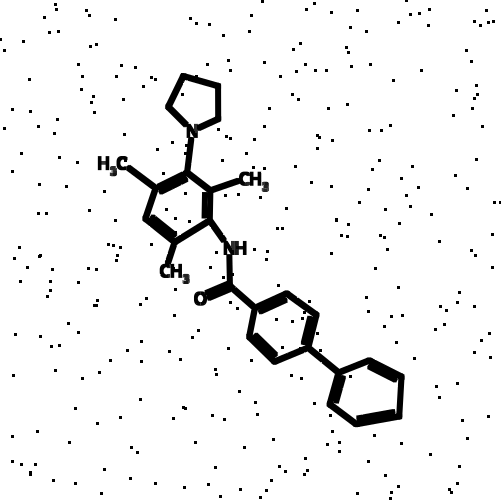 Cc1cc(C)c(N2CCCC2)c(C)c1NC(=O)c1ccc(-c2ccccc2)cc1